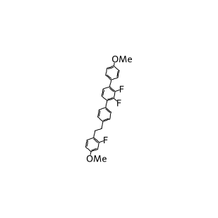 COc1ccc(-c2ccc(-c3ccc(CCc4ccc(OC)cc4F)cc3)c(F)c2F)cc1